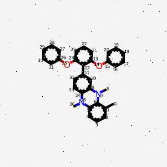 Cc1cccc2c1N(C)c1cc(-c3c(Oc4ccccc4)cccc3Oc3ccccc3)ccc1N2C